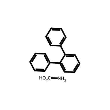 NC(=O)O.c1ccc(-c2ccccc2-c2ccccc2)cc1